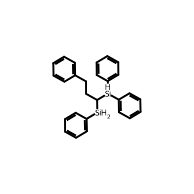 c1ccc(CCC([SiH2]c2ccccc2)[SiH](c2ccccc2)c2ccccc2)cc1